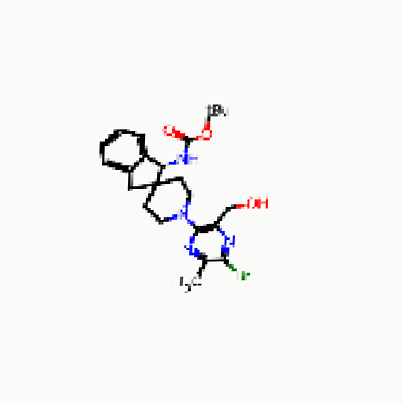 Cc1nc(N2CCC3(CC2)Cc2ccccc2[C@H]3NC(=O)OC(C)(C)C)c(CO)nc1Br